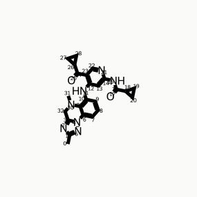 Cc1nc2n(n1)-c1cccc(Nc3cc(NC(=O)C4CC4)ncc3C(=O)C3CC3)c1N(C)C2